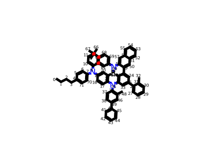 CCCCc1ccc(N(c2ccccc2)c2ccc3c(c2)B2c4c(cc(-c5ccccc5C)cc4N3c3ccc(-c4ccccc4)cc3C)-c3cc4ccccc4cc3N2c2ccc(C(C)(C)C)cc2)cc1